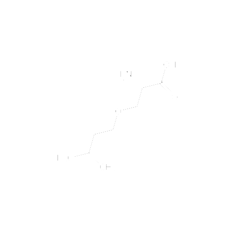 CC(C)CCOC[C@H](N)C(=O)O